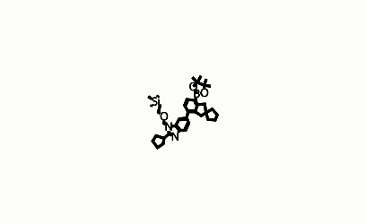 CC1(C)OB(c2ccc(-c3ccc4nc(C5CCCC5)n(COCC[Si](C)(C)C)c4c3)c3c2CC2(CCCC2)C3)OC1(C)C